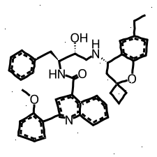 CCc1ccc2c(c1)[C@@H](NC[C@@H](O)[C@H](Cc1ccccc1)NC(=O)c1cc(-c3ccccc3OC)nc3ccccc13)CC1(CCC1)O2